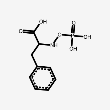 O=C(O)C(Cc1ccccc1)NOP(=O)(O)O